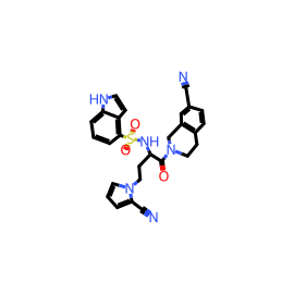 N#Cc1ccc2c(c1)CN(C(=O)C(CCn1cccc1C#N)NS(=O)(=O)c1cccc3[nH]ccc13)CC2